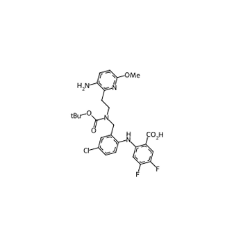 COc1ccc(N)c(CCN(Cc2cc(Cl)ccc2Nc2cc(F)c(F)cc2C(=O)O)C(=O)OC(C)(C)C)n1